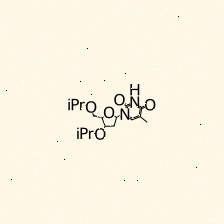 Cc1cn([C@H]2CC(OC(C)C)[C@@H](COC(C)C)O2)c(=O)[nH]c1=O